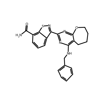 NC(=O)c1cccc2c(-c3nc(NCc4ccccc4)c4c(n3)OCCCC4)nsc12